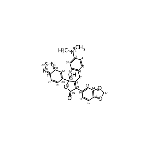 CN(C)c1ccc(CC2=C(c3ccc4c(c3)OCO4)C(=O)OC2(O)c2ccc3nsnc3c2)cc1